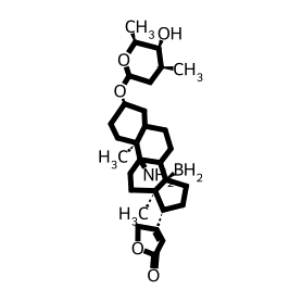 B[C@@]12CC[C@H](C3=CC(=O)OC3)[C@@]1(C)CCC1(N)C2CCC2C[C@@H](OC3C[C@H](C)[C@H](O)[C@H](C)O3)CC[C@@]21C